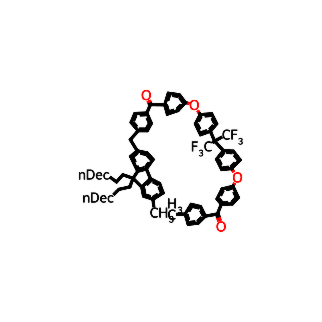 CCCCCCCCCCCCC1(CCCCCCCCCCCC)c2cc(C)ccc2-c2ccc(Cc3ccc(C(=O)c4ccc(Oc5ccc(C(c6ccc(Oc7ccc(C(=O)c8ccc(C)cc8)cc7)cc6)(C(F)(F)F)C(F)(F)F)cc5)cc4)cc3)cc21